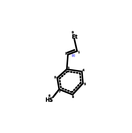 CC/C=C/c1cccc(S)c1